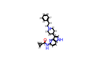 O=C(Nc1ccc2[nH]cc(C3CCN(CCc4ccccc4)CC3)c2n1)C1CC1